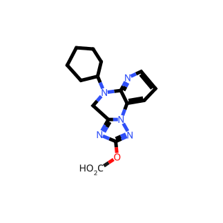 O=C(O)Oc1nc2n(n1)-c1cccnc1N(C1CCCCC1)C2